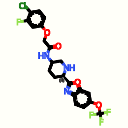 O=C(COc1ccc(Cl)c(F)c1)NC1CC[C@H](c2nc3ccc(OC(F)(F)F)cc3o2)NC1